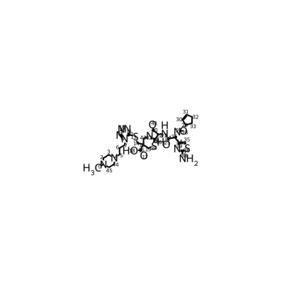 CN1CCN(CCCn2nnnc2SCC2(C(=O)O)CS[C@@H]3C(NC(=O)C(=NOC4C=CCC4)c4csc(N)n4)C(=O)N3C2)CC1